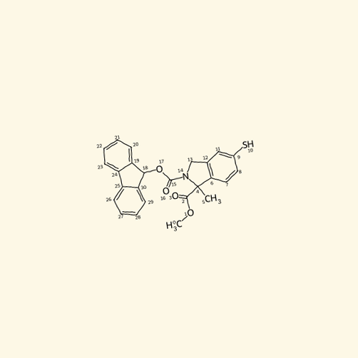 COC(=O)C1(C)c2ccc(S)cc2CN1C(=O)OC1c2ccccc2-c2ccccc21